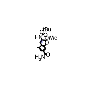 COC(=O)/C(=C\c1c(C)cc(C(N)=O)cc1C)NC(=O)OC(C)(C)C